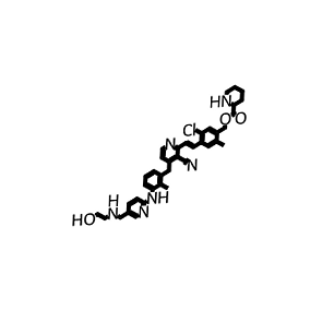 Cc1cc(C=Cc2nccc(Cc3cccc(Nc4ccc(CNCCO)cn4)c3C)c2C#N)c(Cl)cc1COC(=O)C1CCCCN1